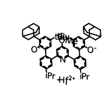 COc1cc(-c2cc(C(C)C)ccc2-c2cc(C(C)(C)C)cc(C34CC5CC(CC(C5)C3)C4)c2[O-])nc(-c2cc(C(C)C)ccc2-c2cc(C(C)(C)C)cc(C34CC5CC(CC(C5)C3)C4)c2[O-])c1.[CH3][Hf+2][CH3]